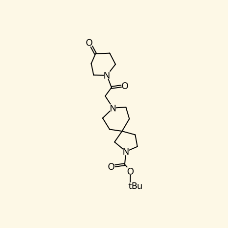 CC(C)(C)OC(=O)N1CCC2(CCN(CC(=O)N3CCC(=O)CC3)CC2)C1